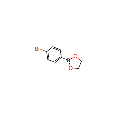 Brc1ccc(B2OCCO2)cc1